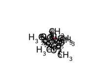 CCCc1cc(OC(=O)[C@H](C)c2ccc3cc(OC)ccc3c2)c2c(c1)OC(C)(C)C1CCC(COC(=O)CC)=CC21